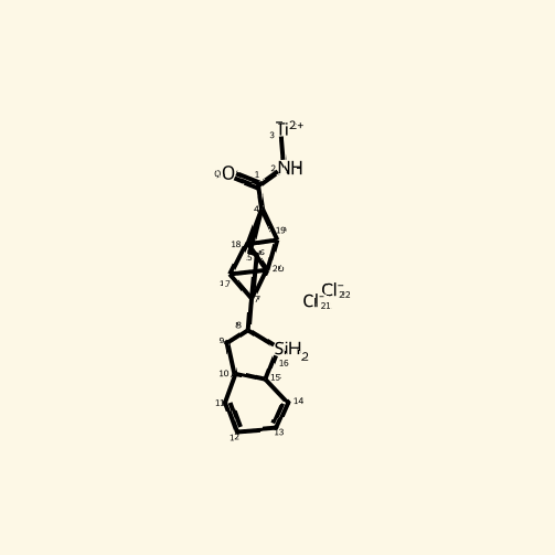 O=C([NH][Ti+2])C12CCC3(C4CC5C=CC=CC5[SiH2]4)C4C15C2C435.[Cl-].[Cl-]